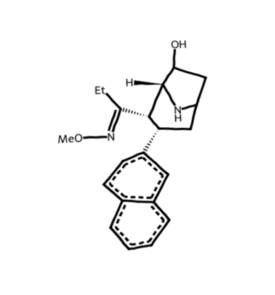 CCC(=NOC)[C@H]1[C@@H](c2ccc3ccccc3c2)CC2CC(O)[C@@H]1N2